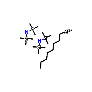 CCCCCCC[CH2][Al+2].C[Si](C)(C)[N-][Si](C)(C)C.C[Si](C)(C)[N-][Si](C)(C)C